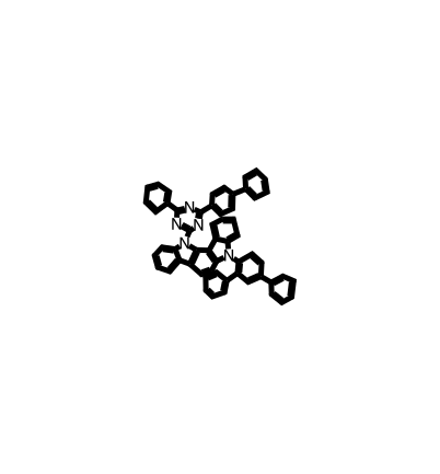 c1ccc(-c2ccc(-c3nc(-c4ccccc4)nc(-n4c5ccccc5c5ccc6c(c7ccccc7n6-c6ccc(-c7ccccc7)cc6-c6ccccc6)c54)n3)cc2)cc1